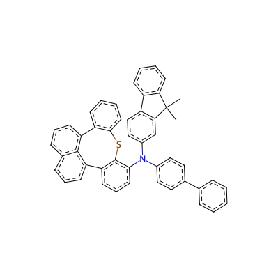 CC1(C)c2ccccc2-c2ccc(N(c3ccc(-c4ccccc4)cc3)c3cccc4c3Sc3ccccc3-c3cccc5cccc-4c35)cc21